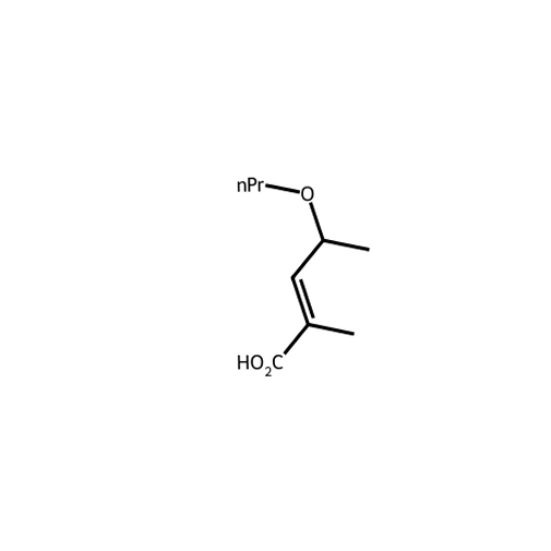 CCCOC(C)C=C(C)C(=O)O